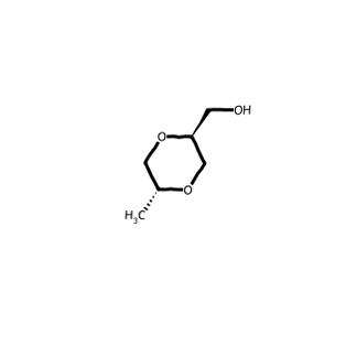 C[C@@H]1CO[C@@H](CO)CO1